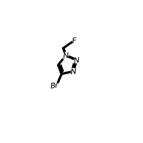 FCn1cc(Br)nn1